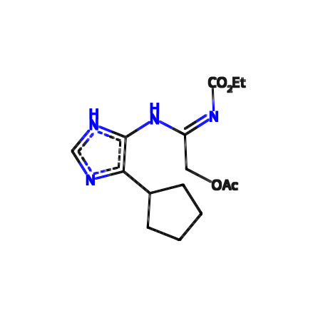 CCOC(=O)/N=C(/COC(C)=O)Nc1[nH]cnc1C1CCCC1